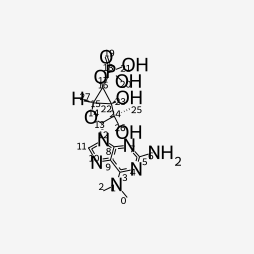 CN(C)c1nc(N)nc2c1ncn2[C@@H]1O[C@@H]2C(OP(=O)(O)O)[C@]2(O)[C@@]1(C)O